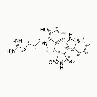 N=C(N)SCCCn1cc(C2=C(c3c[nH]c4ccccc34)C(=O)NC2=O)c2cccc(O)c21